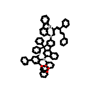 FC(=C\N(c1ccc2c(c1)C(c1ccccc1)(c1ccccc1)c1cc(N(c3c(F)cc(-c4ccccc4)cc3-c3ccccc3)c3cccc4c3oc3ccccc34)c3ccccc3c1-2)c1cccc2c1oc1ccccc12)/C=C(\C=C\c1ccccc1)c1ccccc1